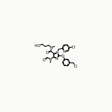 CN(CCCO)C(=O)c1c(N(C)C=O)nc(Oc2cccc(CCl)c2)n1Cc1ccc(Cl)cn1